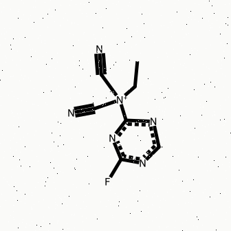 CC[N+](C#N)(C#N)c1n[c]nc(F)n1